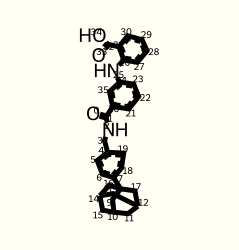 O=C(NCc1ccc(C23CC4CC(CC(C4)C2)C3)cc1)c1cccc(Nc2ccccc2C(=O)O)c1